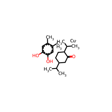 CC(C)C1CCC(C(C)C)C(=O)C1.Cc1cc(O)c(O)cc1C.[Cu]